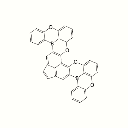 C1=CC2Oc3c(cc4c5c(cc6c(c35)Oc3cccc5c3B6c3ccccc3O5)C=C4)B3c4ccccc4OC(=C1)C32